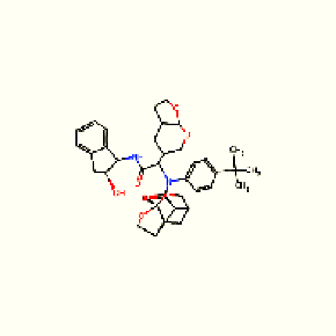 CC(C)(C)c1ccc(N(C(=O)[C@H]2C3CO[C@H]4OCC2C4C3)C(C(=O)N[C@@H]2c3ccccc3C[C@@H]2O)C2COC3OCCC3C2)cc1